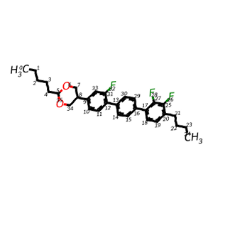 CCCCCC1OCC(c2ccc(-c3ccc(-c4ccc(CCCC)c(F)c4F)cc3)c(F)c2)CO1